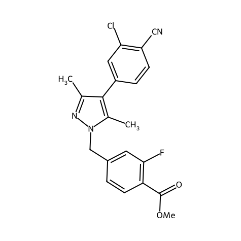 COC(=O)c1ccc(Cn2nc(C)c(-c3ccc(C#N)c(Cl)c3)c2C)cc1F